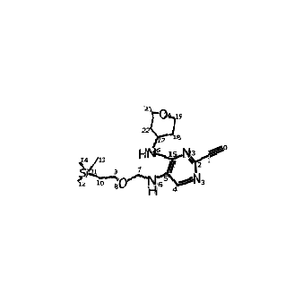 C#Cc1ncc(NCOCC[Si](C)(C)C)c(NC2CCOCC2)n1